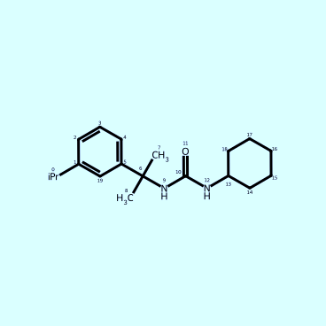 CC(C)c1cccc(C(C)(C)NC(=O)NC2CCCCC2)c1